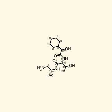 CC(=O)[C@H](CN)NC(=O)[C@@H](NC(=O)C(O)C1CCCCC1)C(C)O